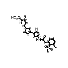 Cc1cccc(CC(=O)Nc2cc(C3CCC(CC[C@H](C)NC(=O)O)C3)[nH]n2)c1S(C)(=O)=O